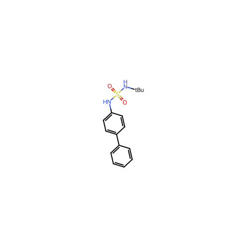 CC(C)(C)NS(=O)(=O)Nc1ccc(-c2ccccc2)cc1